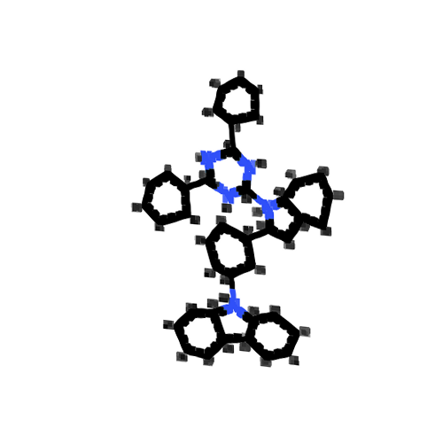 c1ccc(-c2nc(-c3ccccc3)nc(-n3c(-c4cccc(-n5c6ccccc6c6ccccc65)c4)cc4ccccc43)n2)cc1